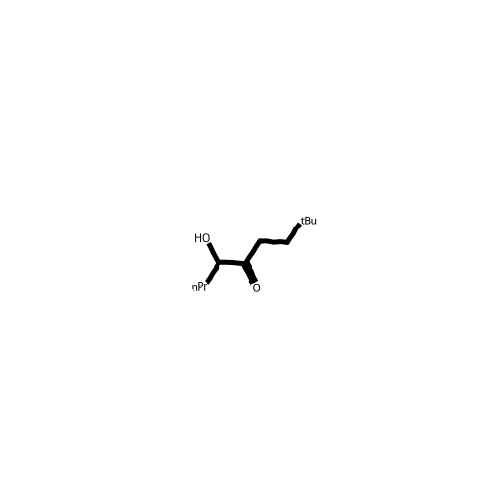 CCCC(O)C(=O)CCC(C)(C)C